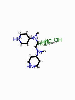 CN(CCN(C)C1CCNCC1)C1CCNCC1.Cl.Cl.Cl.Cl